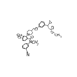 CCOC(=O)CC(c1cccc(OCC2CCN(c3cc(OC)ccc3C(=O)N(C)c3cccc(C#N)c3)CC2)c1)C1CC1